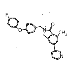 Cc1cc(-c2cccnc2)cc2c1C(=O)N(Cc1ccc(Oc3ccc(F)cc3)cc1)C2